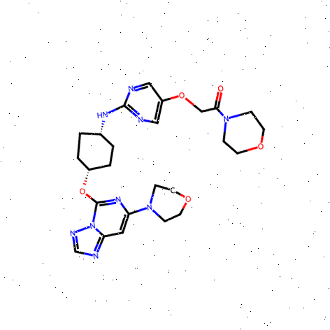 O=C(COc1cnc(N[C@H]2CC[C@@H](Oc3nc(N4CCOCC4)cc4ncnn34)CC2)nc1)N1CCOCC1